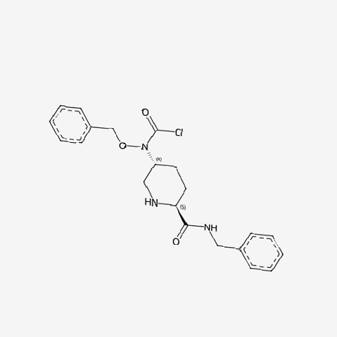 O=C(NCc1ccccc1)[C@@H]1CC[C@@H](N(OCc2ccccc2)C(=O)Cl)CN1